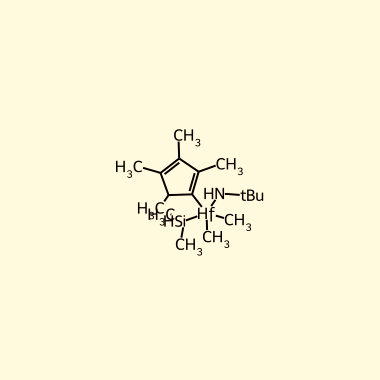 CC1=C(C)C(C)[C]([Hf]([CH3])([CH3])([NH]C(C)(C)C)[SiH](C)C)=C1C